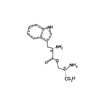 N[C@@H](COC(=O)[C@@H](N)Cc1c[nH]c2ccccc12)C(=O)O